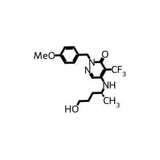 COc1ccc(Cn2ncc(N[C@@H](C)CCCO)c(C(F)(F)F)c2=O)cc1